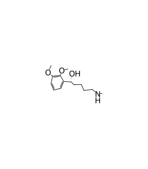 CNCCCC[C@@H](O)c1cccc(OC)c1OC